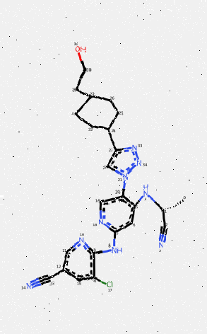 C[C@H](C#N)Nc1cc(Nc2ncc(C#N)cc2Cl)ncc1-n1cc(C2CCC(CCO)CC2)nn1